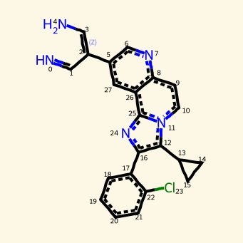 N=C/C(=C\N)c1cnc2ccn3c(C4CC4)c(-c4ccccc4Cl)nc3c2c1